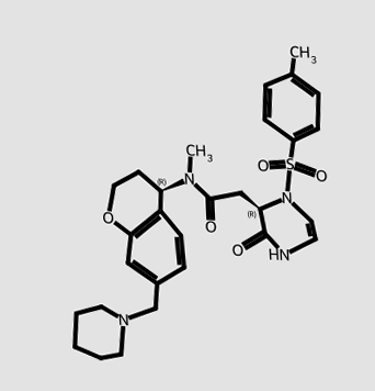 Cc1ccc(S(=O)(=O)N2C=CNC(=O)[C@H]2CC(=O)N(C)[C@@H]2CCOc3cc(CN4CCCCC4)ccc32)cc1